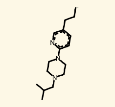 [CH2]CCc1ccc(N2CCN(CC(C)C)CC2)nc1